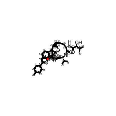 Cc1ccc(-c2cnc(-c3nc4oc3C35c6ccccc6N[C@H]3Oc3ccc(cc35)C[C@H](NC(=O)[C@@H](O)C(C)C)C(=O)N[C@H]4C(C)C)o2)cc1